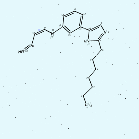 CCCCCCCc1ncc(-c2cccc(N/C=C\C=N)c2)[nH]1